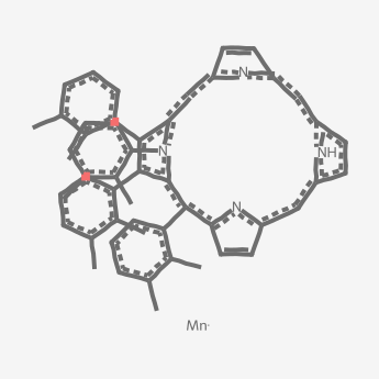 Cc1cccc(-c2c(-c3cccc(C)c3C)c3c(-c4cccc(C)c4C)c4nc(cc5ccc(cc6nc(cc2n3-c2cccc(C)c2C)C=C6)[nH]5)C=C4)c1C.[Mn]